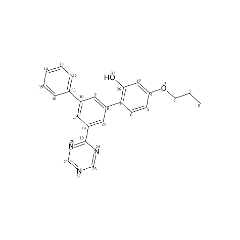 CCCOc1ccc(-c2cc(-c3ccccc3)cc(-c3ncncn3)c2)c(O)c1